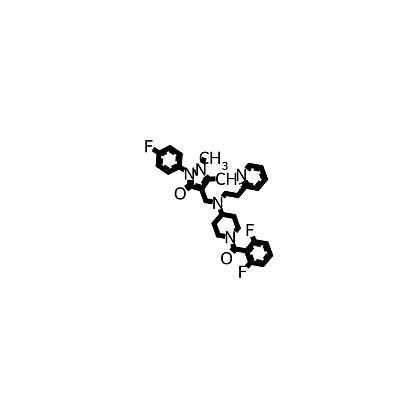 Cc1c(CN(CCc2ccccn2)C2CCN(C(=O)c3c(F)cccc3F)CC2)c(=O)n(-c2ccc(F)cc2)n1C